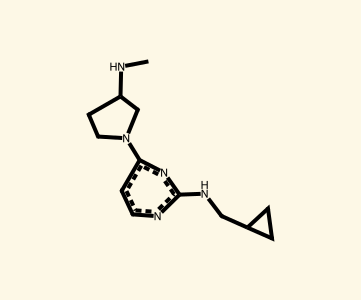 CNC1CCN(c2ccnc(NCC3CC3)n2)C1